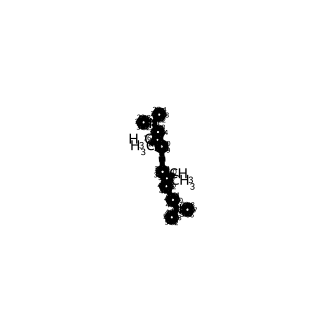 CC1(C)c2cc(C#Cc3ccc4c(c3)C(C)(C)c3cc(N(c5ccccc5)c5ccccc5)ccc3-4)ccc2-c2ccc(-c3ccc(N(c4ccccc4)c4ccccc4)cc3)cc21